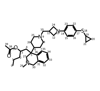 CCCC(CC1(C2CCN(CC3CN(c4ccc(SC5CC5)cc4)C3)CC2)CN(C)Cc2ccccc21)OC(C)=O